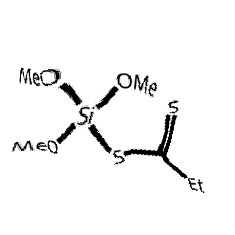 CCC(=S)S[Si](OC)(OC)OC